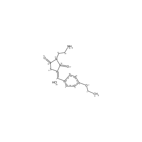 CCOc1ccc(C=C2SC(=O)N(CCN)C2=O)cc1.Cl